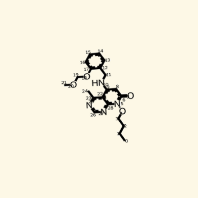 CCCCOn1c(=O)cc(NCc2ccccc2OCOC)c2c(C)ncnc21